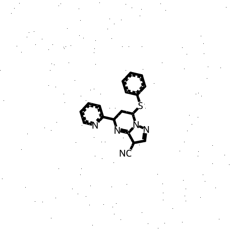 N#CC1C=NN2C1=NC(c1ccccn1)CC2Sc1ccccc1